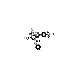 C=C(/C=C1\C(=C)N(C(C)=O)C(C)CN1C(=O)Oc1ccc(Cl)cc1)c1ccc(S(C)(=O)=O)cc1